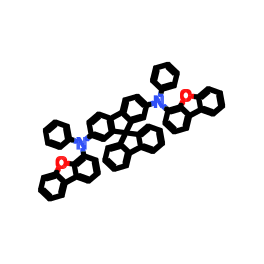 c1ccc(N(c2ccc3c(c2)C2(c4ccccc4-c4ccccc42)c2cc(N(c4ccccc4)c4cccc5c4oc4ccccc45)ccc2-3)c2cccc3c2oc2ccccc23)cc1